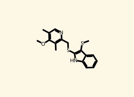 COc1c(C)cnc(CSc2[nH]c3ccccc3c2SC)c1C